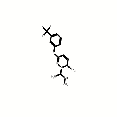 CNC(N)N1N=C(Sc2cccc(C(F)(F)F)c2)C=CC1N